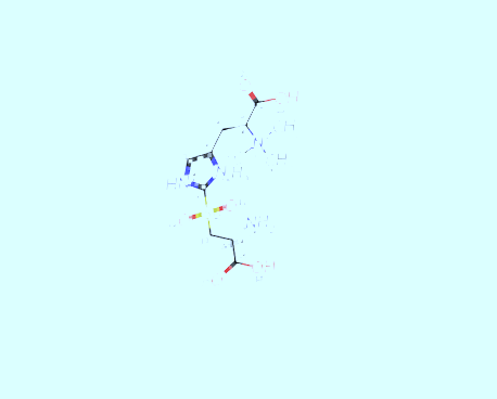 C[N+](C)(C)[C@@H](Cc1c[nH]c(S(=O)(=O)C[C@H](N)C(=O)O)n1)C(=O)O